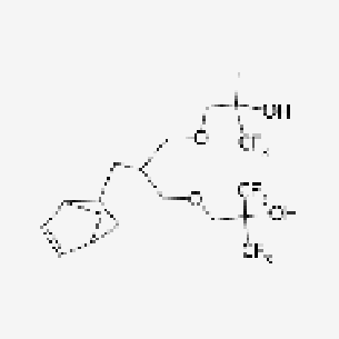 CC(O)(COCC(COCC(O)(C(F)(F)F)C(F)(F)F)CC1CC2C=CC1C2)C(F)(F)F